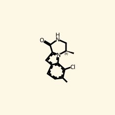 Cc1ccc2cc3n(c2c1Cl)[C@H](C)CNC3=O